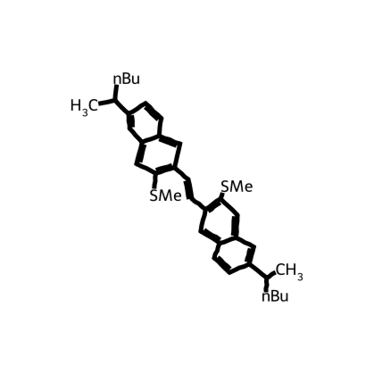 CCCCC(C)c1ccc2cc(C=Cc3cc4ccc(C(C)CCCC)cc4cc3SC)c(SC)cc2c1